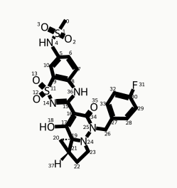 CS(=O)(=O)Nc1ccc2c(c1)S(=O)(=O)N=C(C1=C(O)[C@]34C[C@H]3CCN4N(Cc3ccc(F)cc3)C1=O)N2